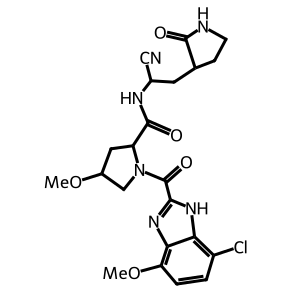 COc1ccc(Cl)c2[nH]c(C(=O)N3CC(OC)CC3C(=O)NC(C#N)CC3CCNC3=O)nc12